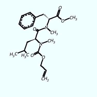 C=CCOC(=O)N(C)[C@@H](CC(C)C)C(=O)N(C)[C@H](Cc1ccccc1)C(=O)OC